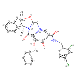 O=C(NCc1ccc(F)cc1F)c1cn2c(c(OCc3ccccc3)c1=O)C(=O)N1C(C2)O[C@@H]2Cc3ccccc3[C@@H]21